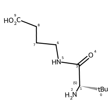 CC(C)(C)[C@H](N)C(=O)NCCCC(=O)O